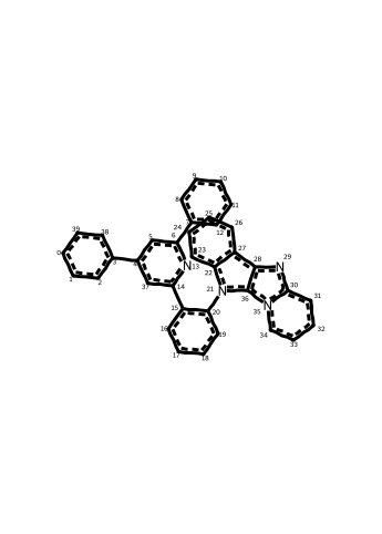 c1ccc(-c2cc(-c3ccccc3)nc(-c3ccccc3-n3c4ccccc4c4nc5ccccn5c43)c2)cc1